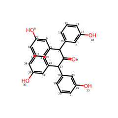 O=C(C(c1cccc(O)c1)c1cccc(O)c1)C(c1cccc(O)c1)c1cccc(O)c1